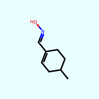 CC1CC=C(C=NO)CC1